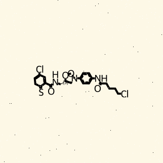 O=C(CCCCCl)Nc1ccc(N2C[C@H](CNC(=O)C3=CC(Cl)=CCC3=S)OO2)cc1